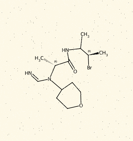 CC(NC(=O)[C@@H](C)N(C=N)C1CCOCC1)[C@@H](C)Br